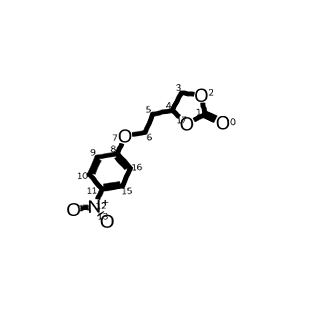 O=C1OCC(CCOc2ccc([N+](=O)[O-])cc2)O1